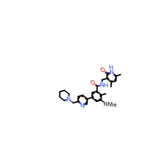 CNc1cc(-c2ccc(CN3CCCCC3)nc2)cc(C(=O)NCc2c(C)cc(C)[nH]c2=O)c1C